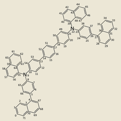 c1ccc2c(-c3ccc(N(c4ccc(-c5ccc(-c6ccc(N(c7ccc(-c8cccc9ccccc89)cc7)c7cccc8ccccc78)cc6)cc5)cc4)c4cccc5ccccc45)cc3)cccc2c1